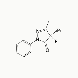 CC1=NN(c2ccccc2)C(=O)C1(F)C(C)C